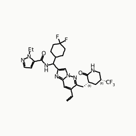 C=Cc1cc2nc(C(NC(=O)c3ccnn3CC)C3CCC(F)(F)CC3)cn2nc1C[C@H]1C[C@@H](C(F)(F)F)CNC1=O